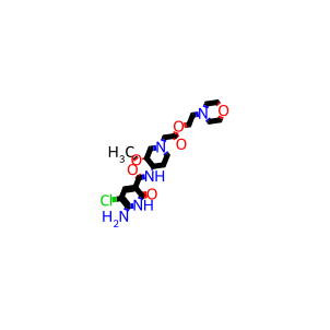 CO[C@@H]1CN(CC(=O)OCCN2CCOCC2)CC[C@@H]1NC(=O)c1cc(Cl)c(N)[nH]c1=O